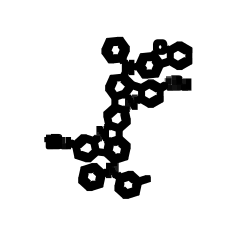 Cc1cccc(N(c2ccccc2)c2ccc3c4c2C2C=CC(C(C)(C)C)=CC2N4C2C=C4C(=CC32)N2C3C=CC(C(C)(C)C)=CC3C3=C(N(c5ccccc5)c5ccc6c(c5)OC5C=CC=CC65)C=CC4C32)c1